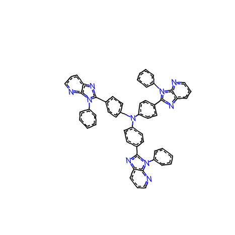 c1ccc(-n2c(-c3ccc(N(c4ccc(-c5nc6cccnc6n5-c5ccccc5)cc4)c4ccc(-c5nc6cccnc6n5-c5ccccc5)cc4)cc3)nc3cccnc32)cc1